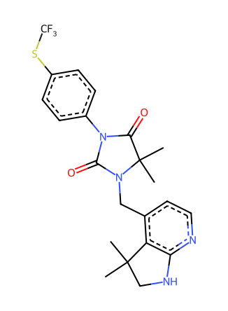 CC1(C)CNc2nccc(CN3C(=O)N(c4ccc(SC(F)(F)F)cc4)C(=O)C3(C)C)c21